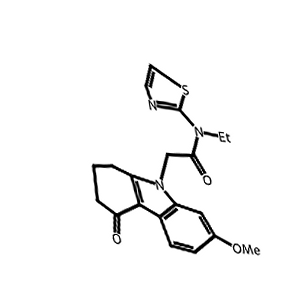 CCN(C(=O)Cn1c2c(c3ccc(OC)cc31)C(=O)CCC2)c1nccs1